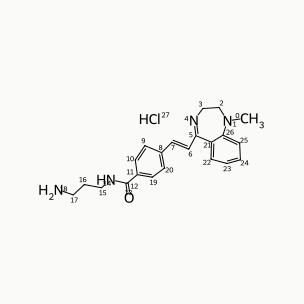 CN1CCN=C(/C=C/c2ccc(C(=O)NCCCN)cc2)c2ccccc21.Cl